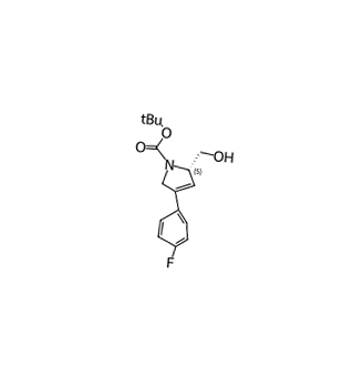 CC(C)(C)OC(=O)N1CC(c2ccc(F)cc2)=C[C@H]1CO